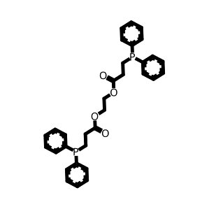 O=C(CCP(c1ccccc1)c1ccccc1)OCCOC(=O)CCP(c1ccccc1)c1ccccc1